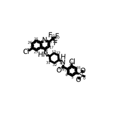 CS(=O)(=O)c1ccc(C(=O)NC2CCC(Nc3cc(C(F)(F)F)nc4ccc(Cl)cc34)CC2)c(Cl)c1